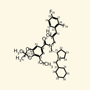 COc1cc(C(=O)N(C/C(C)=C/c2ccc(F)cc2F)C[C@@H]2CCCN2CC2CCCCC2)cc2c1OC(C)(C)O2